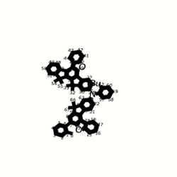 Cc1ccccc1-c1cc2c(c3c1oc1ccccc13)-c1ccc(N(c3ccc4c(c3)C(C)(C)c3c5c(c6c(oc7ccccc76)c3-4)-c3ccccc3C5(C)C)c3ccccc3C(C)(C)C)cc1C2(C)C